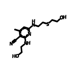 Cc1cc(NCCSCCO)nc(NCCO)c1C#N